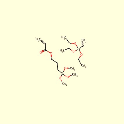 C=CC(=O)OCCC[Si](OC)(OC)OC.C=C[Si](OCC)(OCC)OCC